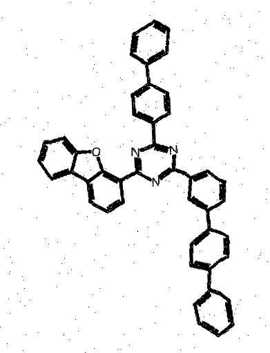 c1ccc(-c2ccc(-c3cccc(-c4nc(-c5ccc(-c6ccccc6)cc5)nc(-c5cccc6c5oc5ccccc56)n4)c3)cc2)cc1